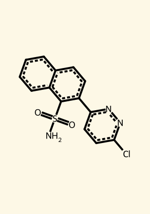 NS(=O)(=O)c1c(-c2ccc(Cl)nn2)ccc2ccccc12